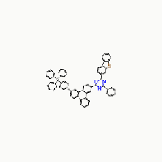 c1ccc(-c2nc(-c3ccc4c(c3)sc3ccccc34)nc(-c3ccc4c5cc(-c6ccc([Si](c7ccccc7)(c7ccccc7)c7ccccc7)cc6)ccc5c5ccccc5c4c3)n2)cc1